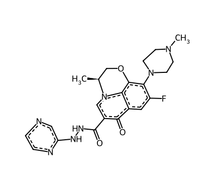 C[C@H]1COc2c(N3CCN(C)CC3)c(F)cc3c(=O)c(C(=O)NNc4cnccn4)cn1c23